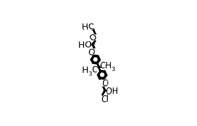 C#CCOC[C@H](O)COc1ccc(C(C)(C)c2ccc(OC[C@@H](O)CCl)cc2)cc1